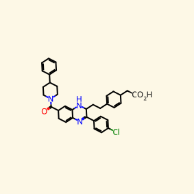 O=C(O)CC1C=CC(CCC2NC3=CC(C(=O)N4CCC(c5ccccc5)CC4)CC=C3N=C2c2ccc(Cl)cc2)=CC1